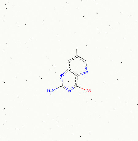 Cc1cnc2c(O)nc(N)nc2c1